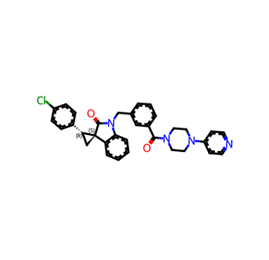 O=C(c1cccc(CN2C(=O)[C@]3(C[C@@H]3c3ccc(Cl)cc3)c3ccccc32)c1)N1CCN(c2ccncc2)CC1